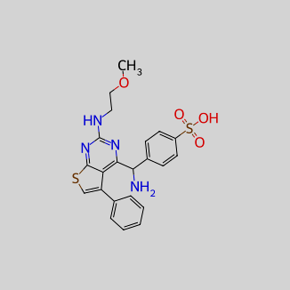 COCCNc1nc(C(N)c2ccc(S(=O)(=O)O)cc2)c2c(-c3ccccc3)csc2n1